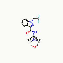 CN1[C@@H]2COC[C@H]1C[C@@H](NC(=O)c1nn(CC(F)F)c3ccccc13)C2